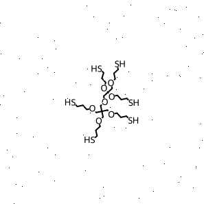 SCCCOCC(COCCCS)(COCCCS)COCC(COCCCS)(OCCCS)OCCCS